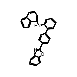 c1ccc(-c2ccc(-c3nc4ccccc4o3)cc2)c(Nc2cccc3ccccc23)c1